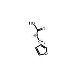 CNC(=O)O.c1ccoc1